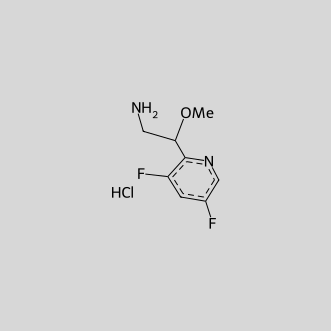 COC(CN)c1ncc(F)cc1F.Cl